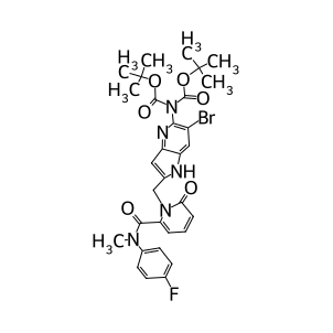 CN(C(=O)c1cccc(=O)n1Cc1cc2nc(N(C(=O)OC(C)(C)C)C(=O)OC(C)(C)C)c(Br)cc2[nH]1)c1ccc(F)cc1